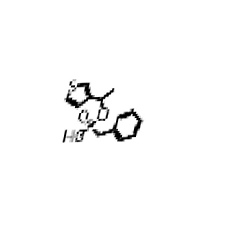 CC(OP(=O)(O)Cc1ccccc1)c1ccsc1